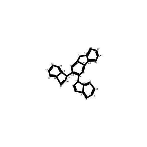 [c]1c2c(cc(C3C=Cc4ccccc43)c1C1C=Cc3ccccc31)-c1ccccc1C2